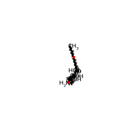 CCCCCCCCCCCCCCCCOP(=O)(O)OC[C@H]1O[C@@H](n2cnc3c(N)ncnc32)[C@@H](O)[C@@H]1O